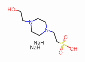 O=S(=O)(O)CCN1CCN(CCO)CC1.[NaH].[NaH]